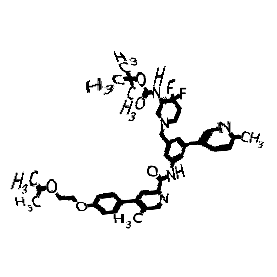 Cc1ccc(-c2cc(CN3CCC(F)(F)[C@H](NC(=O)OC(C)(C)C)C3)cc(NC(=O)c3cc(-c4ccc(OCCOC(C)C)cc4)c(C)cn3)c2)cn1